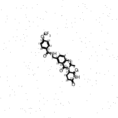 Cc1nc2ccc(CNC(=O)c3ccc(OC(F)(F)F)cc3)cc2c(=O)n1C1CCC(=O)NC1=O